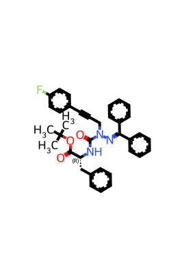 CC(C)(C)OC(=O)[C@@H](Cc1ccccc1)NC(=O)N(CC#Cc1ccc(F)cc1)N=C(c1ccccc1)c1ccccc1